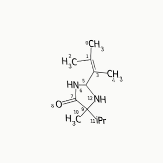 CC(C)=C(C)C1NC(=O)C(C)(C(C)C)N1